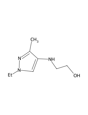 CCn1cc(NCCO)c(C)n1